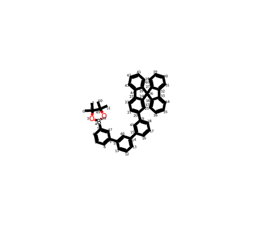 CC1(C)OB(c2cccc(-c3cccc(-c4cccc(-c5ccc6c(c5)C5(c7ccccc7-c7ccccc75)c5ccccc5-6)c4)c3)c2)OC1(C)C